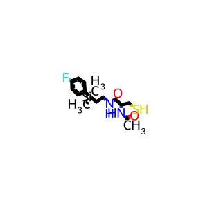 CC(=O)NC(CS)C(=O)NCC[Si](C)(C)c1ccc(F)cc1